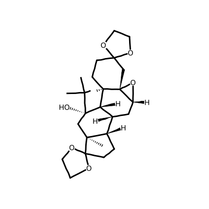 CC(C)(C)[C@]1(O)C[C@@]2(C)[C@@H](CCC23OCCO3)[C@H]2C[C@H]3O[C@]34CC3(CC[C@]4(C)[C@H]21)OCCO3